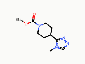 Cn1cnnc1C1CCN(C(=O)OC(C)(C)C)CC1